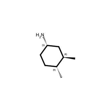 C[C@@H]1CC[C@H](N)C[C@H]1C